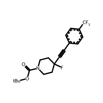 CC(C)(C)OC(=O)N1CCC(F)(C#Cc2ccc(C(F)(F)F)cc2)CC1